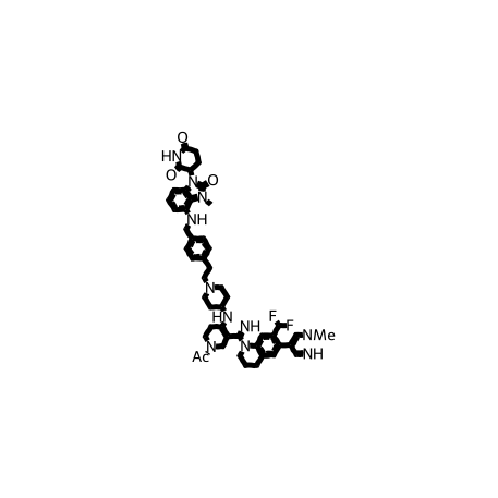 CN/C=C(\C=N)c1cc2c(cc1C(F)F)N(C(=N)C1=C(NC3CCN(CCc4ccc(CNc5cccc6c5n(C)c(=O)n6C5CCC(=O)NC5=O)cc4)CC3)CCN(C(C)=O)C1)CCC2